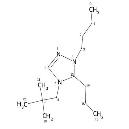 CCCCN1N=CN(CC(C)(C)C)C1CCC